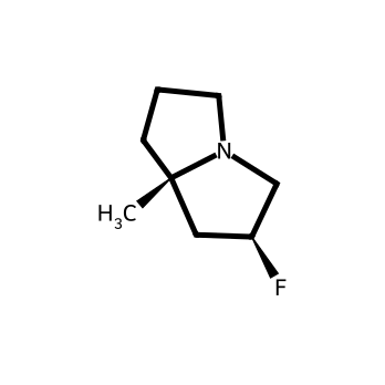 C[C@@]12CCCN1C[C@@H](F)C2